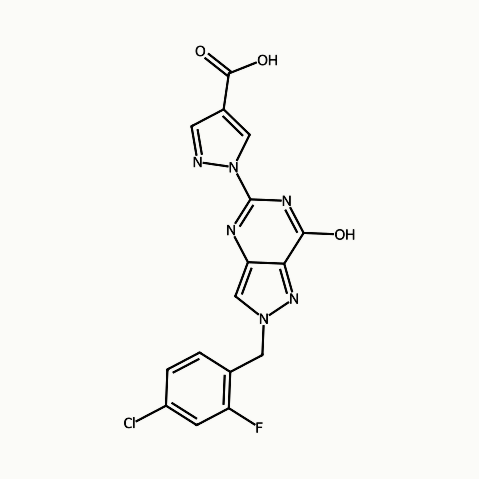 O=C(O)c1cnn(-c2nc(O)c3nn(Cc4ccc(Cl)cc4F)cc3n2)c1